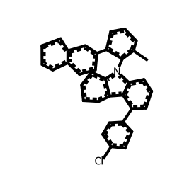 Cc1cccc(-c2ccc3ccccc3c2)c1-n1c2ccccc2c2c(-c3ccc(Cl)cc3)cccc21